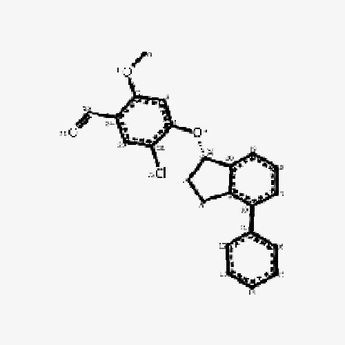 COc1cc(O[C@H]2CCc3c(-c4ccccc4)cccc32)c(Cl)cc1C=O